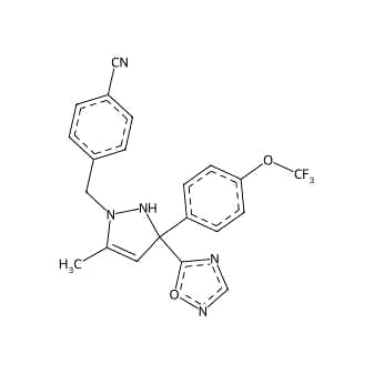 CC1=CC(c2ccc(OC(F)(F)F)cc2)(c2ncno2)NN1Cc1ccc(C#N)cc1